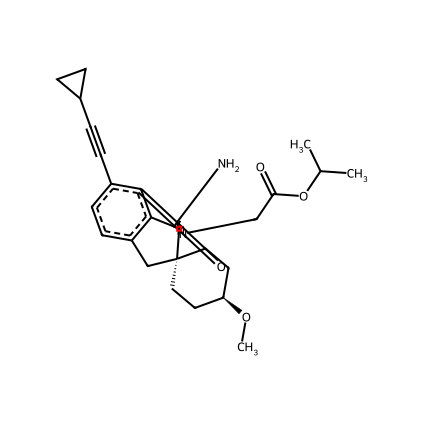 CO[C@H]1CC[C@]2(CC1)Cc1ccc(C#CC3CC3)cc1C21N=C(N)N(CC(=O)OC(C)C)C1=O